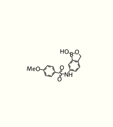 COc1ccc(S(=O)(=O)Nc2ccc3c(c2)B(O)OC3)cc1